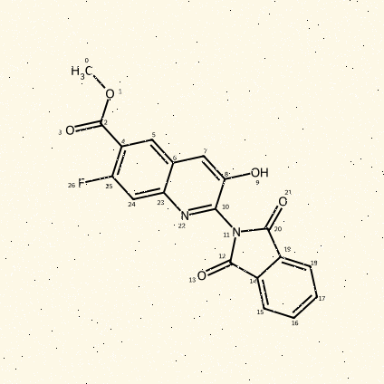 COC(=O)c1cc2cc(O)c(N3C(=O)c4ccccc4C3=O)nc2cc1F